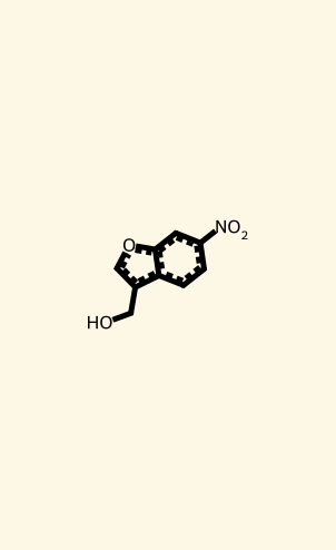 O=[N+]([O-])c1ccc2c(CO)coc2c1